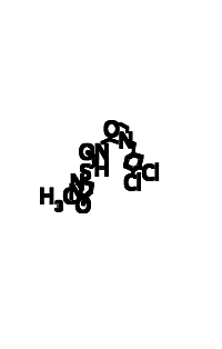 Cn1nc(SCC(=O)NCC2CN(Cc3ccc(Cl)c(Cl)c3)CCO2)ccc1=O